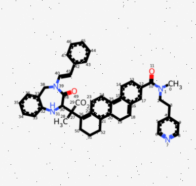 CN(CCc1ccncc1)C(=O)c1ccc2c(c1)=CCc1c3c(ccc1=2)=C(C(C)(C(=O)O)C1Nc2ccccc2CN(C=Cc2ccccc2)C1=O)CCC3